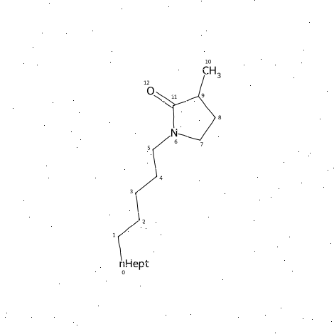 CCCCCCCCCCCCN1CCC(C)C1=O